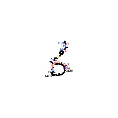 COc1cc2cc(c1Cl)N(C)C(=O)CC(OC(=O)C(C)N(C)C(=O)CCSCc1ccc(NC(=O)C(C)NC(=O)C(C)N)cc1)C1(C)OC1C(C)C1CC(O)(NC(=O)O1)C(OC)/C=C/C=C(\C)C2